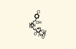 CN1C(=O)C(F)(F)Oc2ncn(Cc3nnn(C[C@H](O)c4ccc(Cl)cc4)n3)c(=O)c21